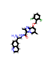 Cc1cc(OCc2c(F)cccc2F)c2nc(C)c(C(=O)NCC(N)c3ccc4ncccc4c3)n2c1